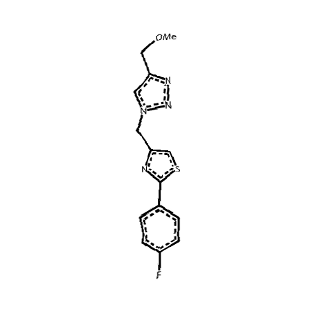 COCc1cn(Cc2csc(-c3ccc(F)cc3)n2)nn1